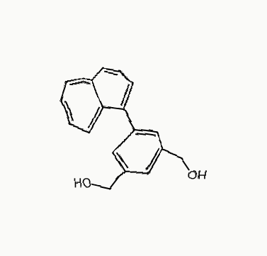 OCc1cc(CO)cc(-c2cccc3ccccc23)c1